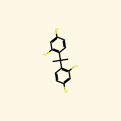 CC(C)(c1ccc(S)cc1S)c1ccc(S)cc1S